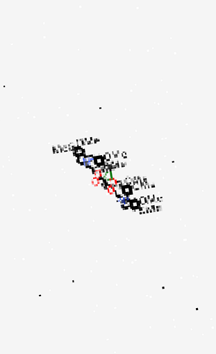 COc1cc2c(cc1OC)[C@H](c1cc(OC)c(OC)c(OC)c1)[N@@+](C)(CCCOC(=O)C=C(Cl)C(=O)OCCC[N@+]1(C)CCc3cc(OC)c(OC)cc3[C@H]1Cc1cc(OC)c(OC)c(OC)c1)CC2